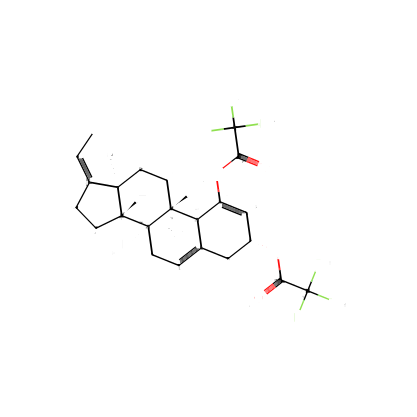 C/C=C1/CC[C@H]2[C@@H]3CC=C4C[C@@H](OC(=O)C(F)(F)F)C=C(OC(=O)C(F)(F)F)[C@]4(C)[C@H]3CC[C@]12C